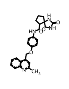 Cc1cc(COc2ccc(NC(=O)C3CCCC34NC(=O)NC4=O)cc2)c2ccccc2n1